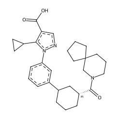 O=C(O)c1cnn(-c2cccc(C3CCC[C@@H](C(=O)N4CCCC5(CCCC5)C4)C3)c2)c1C1CC1